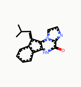 CC(C)/C=c1\c2ccccc2c2[nH]c(=O)c3nccn3c12